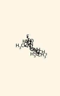 CC#CCn1c(N2CCC[C@@H](NC(=O)OC(C)(C)C)C2)nc2c(=O)n(CCF)[nH]c(=O)c21